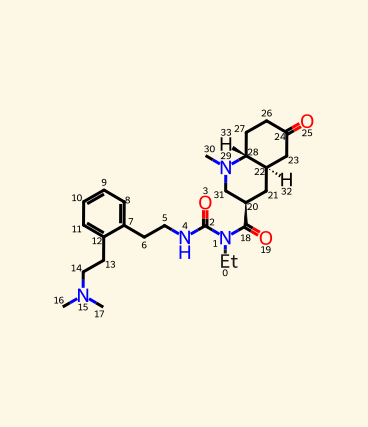 CCN(C(=O)NCCc1ccccc1CCN(C)C)C(=O)[C@@H]1C[C@@H]2CC(=O)CC[C@H]2N(C)C1